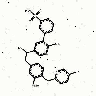 CCc1ccc(Nc2ccc(CC(C)c3cnc(C)c(-c4cccc(S(N)(=O)=O)c4)c3)cc2OC)nc1